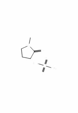 CN1CCCC1=O.O=S(=O)(O)O